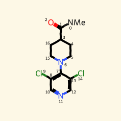 CNC(=O)C1CCN(c2c(Cl)cncc2Cl)CC1